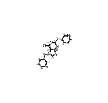 O=c1[nH]c(Cc2cccnc2)nc2ncn(Cc3ccccc3)c12